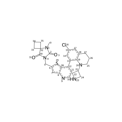 CN1C(=O)N(Cc2cc3nccc(-c4cc(Cl)cc5c4N(C4CNC4)CCC5)c3s2)C(=O)C12CCC2